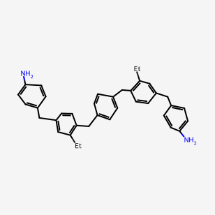 CCc1cc(Cc2ccc(N)cc2)ccc1Cc1ccc(Cc2ccc(Cc3ccc(N)cc3)cc2CC)cc1